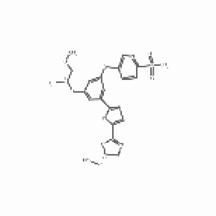 COC[C@H](C)Oc1cc(Oc2ccc(S(C)(=O)=O)nc2)cc(-c2ccc(C3=NC[C@H](CO)O3)[nH]2)c1